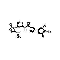 C[C@H](F)C1COC(=O)N1c1ccnc(NC2(c3cn(-c4cc(Cl)c(C(C)(C)C)c(Cl)c4)cn3)CC2)n1